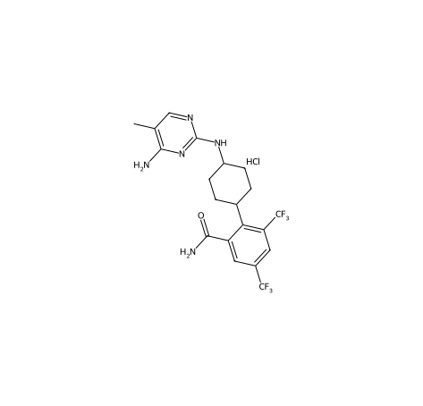 Cc1cnc(NC2CCC(c3c(C(N)=O)cc(C(F)(F)F)cc3C(F)(F)F)CC2)nc1N.Cl